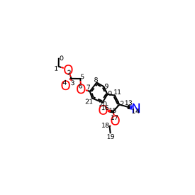 CCOC(=O)COc1ccc(C=C(C#N)C(=O)OCC)cc1